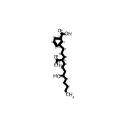 CCCCCC(O)CCCC(CCCc1cccc(C(=O)O)c1)C(C)=O